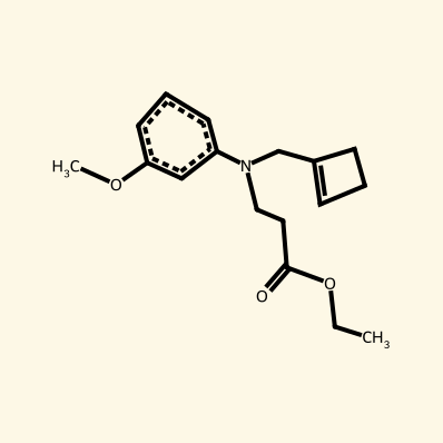 CCOC(=O)CCN(CC1=CCC1)c1cccc(OC)c1